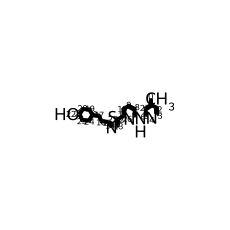 Cc1ccnc(Nc2cccc(-c3cnc(CCC4CCC(O)CC4)s3)n2)c1